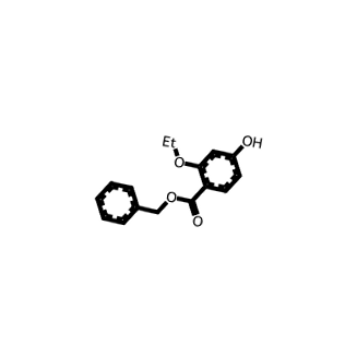 CCOc1cc(O)ccc1C(=O)OCc1ccccc1